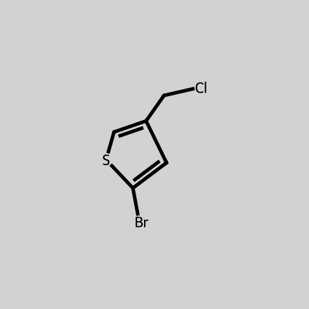 ClCc1csc(Br)c1